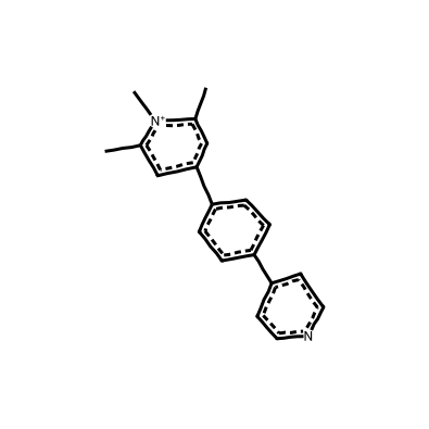 Cc1cc(-c2ccc(-c3ccncc3)cc2)cc(C)[n+]1C